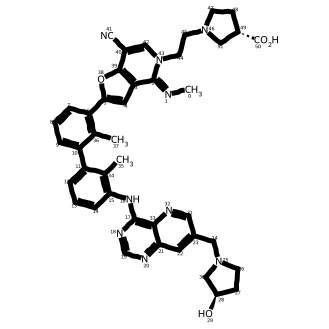 C/N=c1/c2cc(-c3cccc(-c4cccc(Nc5ncnc6cc(CN7CC[C@@H](O)C7)cnc56)c4C)c3C)oc2c(C#N)cn1CCN1CC[C@H](C(=O)O)C1